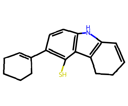 Sc1c(C2=CCCCC2)ccc2[nH]c3c(c12)CCC=C3